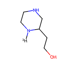 [2H]N1CCNCC1CCO